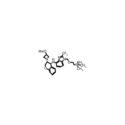 COC1CN([C@H]2COc3ccccc3[C@@H]2Nc2cccc3c2nc(C(F)(F)F)n3COCC[Si](C)(C)C)C1